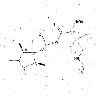 C=CBCC(C)(C)[C@@H](NC)C(=O)O/C(Cl)=C/C1(C)[C@H](C)C(C)C(C)[C@@H]1C